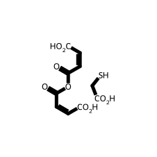 O=C(O)/C=C\C(=O)OC(=O)/C=C\C(=O)O.O=C(O)CS